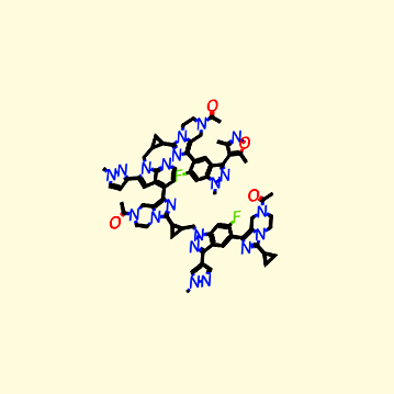 CC(=O)N1CCn2c(C3CC3)nc(-c3cc4c(-c5cnn(C)c5)nn(CC5CC5c5nc(-c6ccnc7c6cc(-c6ccn(C)n6)n7CC6CC6c6nc(-c7cc8c(-c9c(C)noc9C)nn(C)c8cc7F)c7n6CCN(C(C)=O)C7)c6n5CCN(C(C)=O)C6)c4cc3F)c2C1